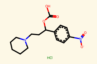 Cl.O=C(O)OC(CCN1CCCCC1)c1ccc([N+](=O)[O-])cc1